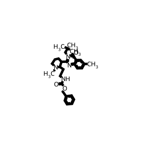 Cc1ccc2nc(C3CCCN(C)C3CCNC(=O)OCc3ccccc3)n(CC(C)(C)C)c(=O)c2c1